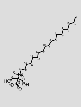 CCCCCCCCCCCCCCCCCCC[N+](C)(C)C(CO)(CO)C(=O)[O-]